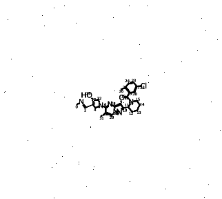 CN=C[C@@H]1CN(c2nc3cc([C@@H]4CCCCN4C(=O)c4cc(Cl)ccc4C)nn3cc2C)C[C@@H]1O